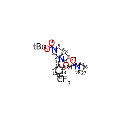 CC(C)(C)OC(=O)N1CCC2(CCCN2Cc2ccc(C(F)(F)F)cc2OCC(=O)N2CCCC2)CC1